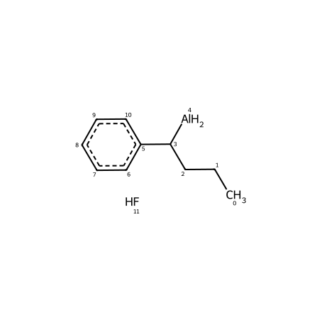 CCC[CH]([AlH2])c1ccccc1.F